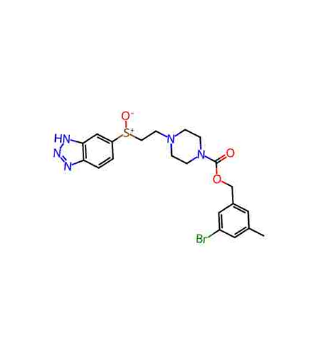 Cc1cc(Br)cc(COC(=O)N2CCN(CC[S+]([O-])c3ccc4nn[nH]c4c3)CC2)c1